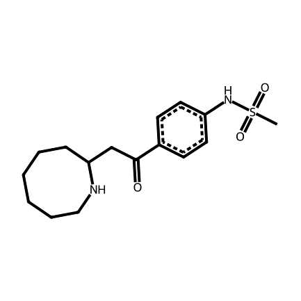 CS(=O)(=O)Nc1ccc(C(=O)CC2CCCCCCN2)cc1